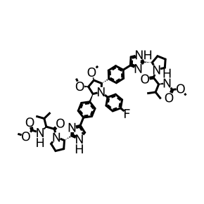 COC(=O)N[C@H](C(=O)N1CCC[C@H]1c1nc(-c2ccc([C@H]3[C@@H](OC)[C@H](OC)[C@H](c4ccc(-c5c[nH]c([C@@H]6CCCN6C(=O)[C@@H](NC(=O)OC)C(C)C)n5)cc4)N3c3ccc(F)cc3)cc2)c[nH]1)C(C)C